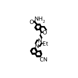 CC[C@H]1CN(c2cccc3cc(C#N)ccc23)CCN1CC[C@@H]1OCCc2cc(C(N)=O)ccc21